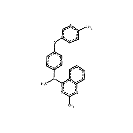 Cc1ccc(Oc2ccc(N(C)c3nc(C)nc4ccccc34)cc2)cn1